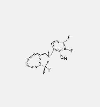 Oc1c(NCc2ccccc2C(F)(F)F)ccc(F)c1F